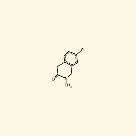 CN1Cc2cc(Cl)ccc2CC1=O